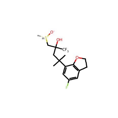 C[S@+]([O-])CC(O)(CC(C)(C)c1cc(F)cc2c1OCC2)C(F)(F)F